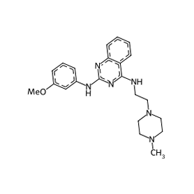 COc1cccc(Nc2nc(NCCN3CCN(C)CC3)c3ccccc3n2)c1